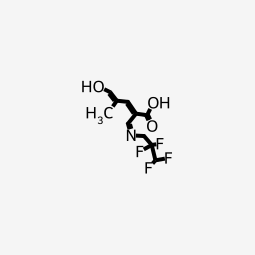 CC(=C\O)/C=C(\C=N/CC(F)(F)C(F)F)C(=O)O